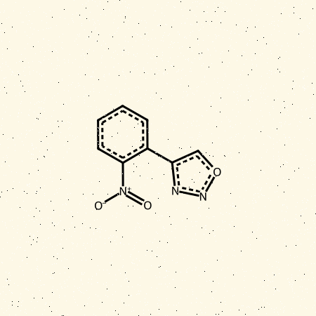 O=[N+]([O-])c1ccccc1-c1conn1